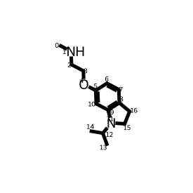 CNCCOc1ccc2c(c1)N(C(C)C)CC2